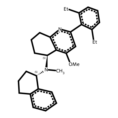 CCc1cccc(CC)c1-c1cc(OC)c2c(n1)CCC[C@@H]2N(C)[C@H]1CCCc2ccccc21